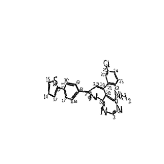 Nc1ncnc2nc(-c3ccc(-c4cccs4)cc3)cc(-c3cccc(Cl)c3)c12